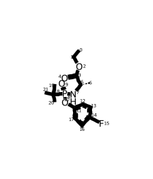 CCOC(=O)[C@H](C)NP(=O)(Oc1ccc(F)cc1)C(C)(C)C